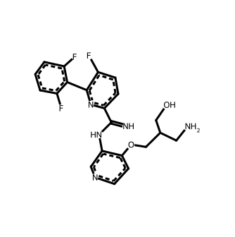 N=C(Nc1cnccc1OCC(CN)CO)c1ccc(F)c(-c2c(F)cccc2F)n1